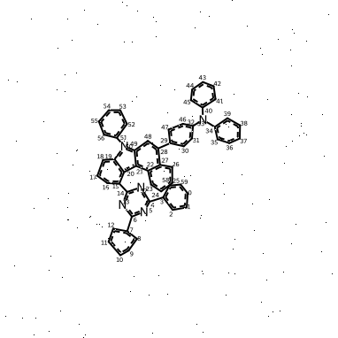 c1ccc(-c2nc(-c3ccccc3)nc(-c3cccc4c3c3c5ccccc5c(-c5ccc(N(c6ccccc6)c6ccccc6)cc5)cc3n4-c3ccccc3)n2)cc1